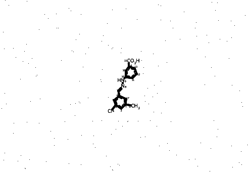 Cc1cc(Cl)cc(/C=N/Nc2cccc(C(=O)O)c2)c1